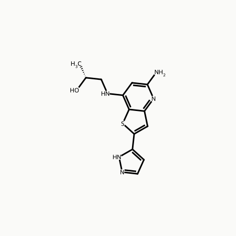 C[C@@H](O)CNc1cc(N)nc2cc(-c3ccn[nH]3)sc12